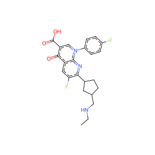 CCNCC1CCC(c2nc3c(cc2F)c(=O)c(C(=O)O)cn3-c2ccc(F)cc2)C1